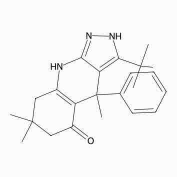 CC1(C)CC(=O)C2=C(C1)Nc1n[nH]c(C(C)(C)C)c1C2(C)c1ccccc1